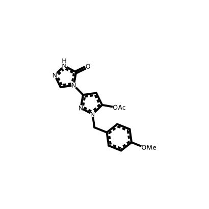 COc1ccc(Cn2nc(-n3cn[nH]c3=O)cc2OC(C)=O)cc1